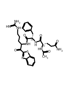 CC(=O)N[C@@H](CCC(N)=O)C(=O)N[C@@H](Cc1ccccc1)C(=O)NC(CCCNC(=N)N)C(=O)c1nc2ccccc2s1